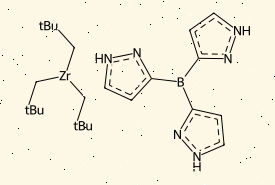 CC(C)(C)[CH2][Zr]([CH2]C(C)(C)C)[CH2]C(C)(C)C.c1cc(B(c2cc[nH]n2)c2cc[nH]n2)n[nH]1